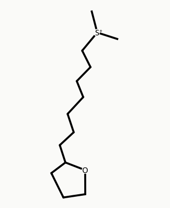 C[S+](C)CCCCCCCC1CCCO1